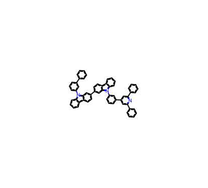 c1ccc(-c2cccc(-n3c4ccccc4c4ccc(-c5ccc6c7ccccc7n(-c7cccc(-c8cc(-c9ccccc9)nc(-c9ccccc9)c8)c7)c6c5)cc43)c2)cc1